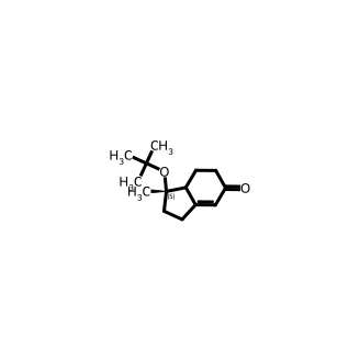 CC(C)(C)O[C@@]1(C)CCC2=CC(=O)CCC21